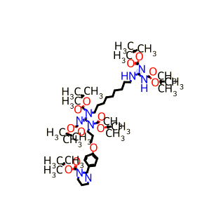 CC(C)(C)OC(=O)/N=C(/N(CCCCCCCCCN/C(=N\C(=O)OC(C)(C)C)NC(=O)OC(C)(C)C)C(=O)OC(C)(C)C)N(CCCOc1ccc(C2=NCCCN2C(=O)OC(C)(C)C)cc1)C(=O)OC(C)(C)C